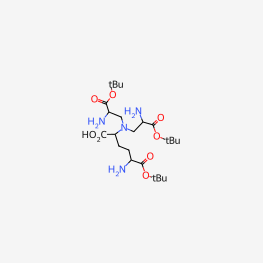 CC(C)(C)OC(=O)C(N)CCC(C(=O)O)N(CC(N)C(=O)OC(C)(C)C)CC(N)C(=O)OC(C)(C)C